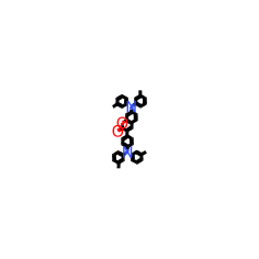 Cc1cccc(N(c2ccc(-c3cc4ccc(N(c5cccc(C)c5)c5cccc(C)c5)cc4oc3=O)cc2)c2cccc(C)c2)c1